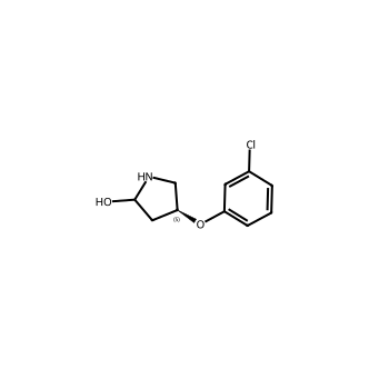 OC1C[C@H](Oc2cccc(Cl)c2)CN1